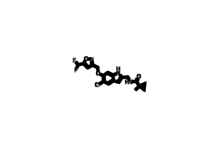 CC1(C(=O)NCc2cc3cc(Cl)c(OCc4cc(C(F)F)on4)cc3[nH]2)CC1